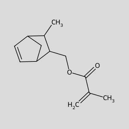 C=C(C)C(=O)OCC1C2C=CC(C2)C1C